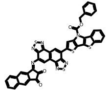 O=C(OCc1ccccc1)n1c2cc(-c3cc4c(cc(/N=c5\c(=O)c(=O)c6cc7ccccc7cc56)c5nsnc54)c4nsnc34)sc2c2sc3ccccc3c21